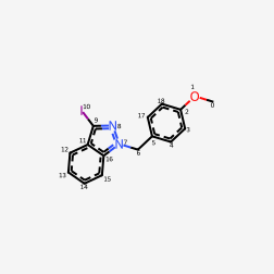 COc1ccc(Cn2nc(I)c3ccccc32)cc1